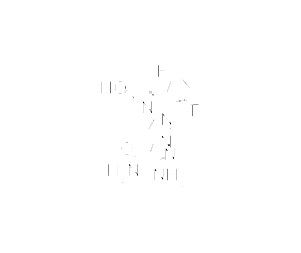 NC(=O)c1c(N)nn2cnc(N3C[C@@H](O)C[C@@H]3c3cc(F)ccc3F)cc12